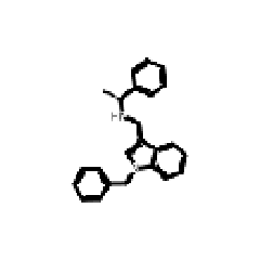 C[C@H](NCc1cn(Cc2ccccc2)c2ccccc12)c1ccccc1